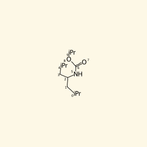 CC(C)CC(CC(C)C)NC(=O)OC(C)C